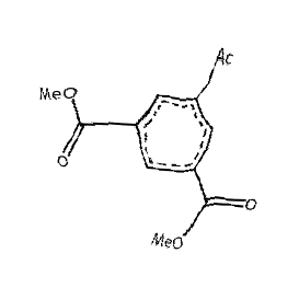 COC(=O)c1cc(C(C)=O)cc(C(=O)OC)c1